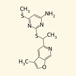 CSc1cc(N)nc(SC(C)c2cc3c(C)coc3cn2)n1